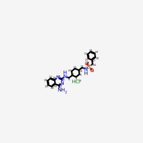 Cl.Nc1nc(NCC2CCC(CNS(=O)(=O)Cc3ccccc3)CC2)nc2ccccc12